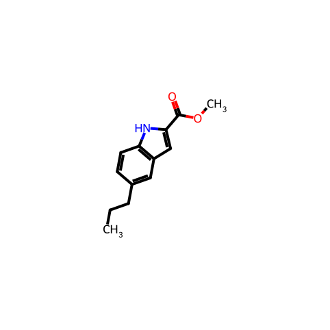 CCCc1ccc2[nH]c(C(=O)OC)cc2c1